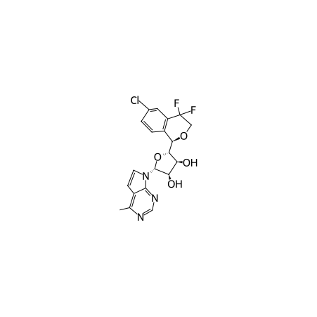 Cc1ncnc2c1ccn2[C@@H]1O[C@H]([C@@H]2OCC(F)(F)c3cc(Cl)ccc32)[C@@H](O)[C@H]1O